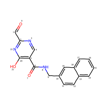 O=Cc1ncc(C(=O)NCc2ccc3ccccc3c2)c(O)n1